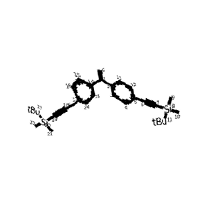 C=C(c1ccc(C#C[Si](C)(C)C(C)(C)C)cc1)c1ccc(C#C[Si](C)(C)C(C)(C)C)cc1